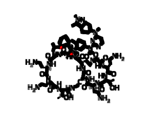 Cc1ccc(N(C(=O)OCC(=O)N[C@@H](CCN)C(=O)N[C@H](C(=O)N[C@@H](CCN)C(=O)N[C@H]2CCNC(=O)[C@H]([C@@H](C)O)NC(=O)[C@H](CCN)NC(=O)[C@H](CCN)NC(=O)[C@H](CC(C)C)NC(=O)[C@@H](Cc3ccccc3)NC(=O)[C@H](CCN)NC2=O)[C@@H](C)O)c2nccc(N(C)c3ccc4c(C)n(C)nc4c3)n2)cc1S(N)(=O)=O